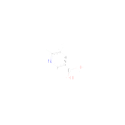 OB(O)c1cnc(F)c(Cl)c1